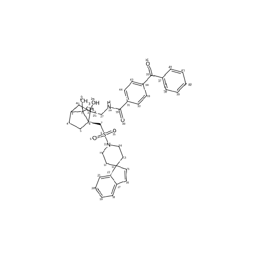 CC1(C)C2CC[C@@]1(CS(=O)(=O)N1CCC3(C=Cc4ccccc43)CC1)C(O)(CNC(=O)c1ccc(C(=O)c3ccccc3)cc1)C2